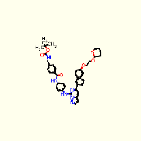 CC(C)(C)OC(=O)NCc1ccc(C(=O)Nc2ccc(Nc3nc(-c4ccc5cc(OCCOC6CCCCO6)ccc5c4)cc4ccnn34)cc2)cc1